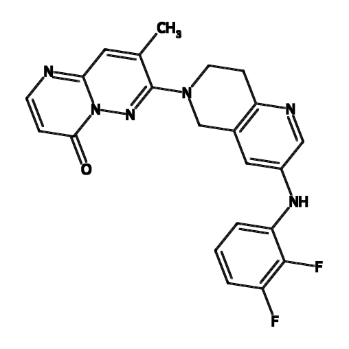 Cc1cc2nccc(=O)n2nc1N1CCc2ncc(Nc3cccc(F)c3F)cc2C1